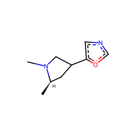 C[C@@H]1CC(c2cnco2)CN1C